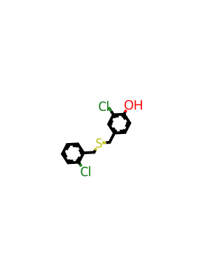 Oc1ccc(CSCc2ccccc2Cl)cc1Cl